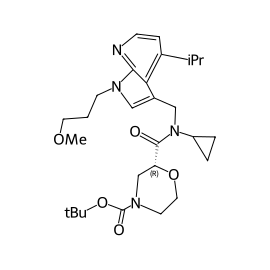 COCCCn1cc(CN(C(=O)[C@H]2CN(C(=O)OC(C)(C)C)CCO2)C2CC2)c2c(C(C)C)ccnc21